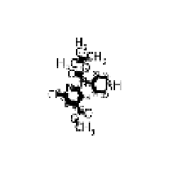 COC(=O)c1cc(Cl)nc(N(C(=O)OC(C)(C)C)C2CCNCC2)c1